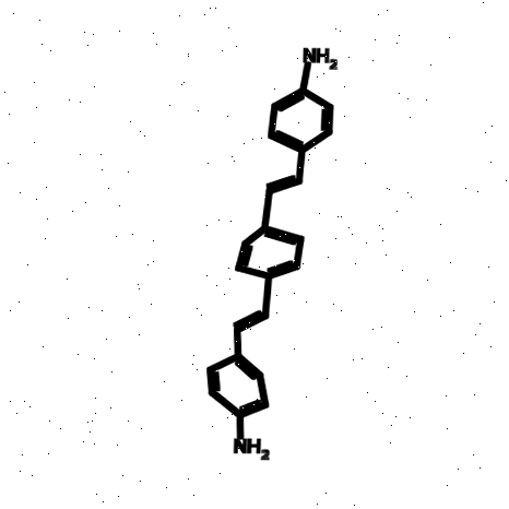 Nc1ccc(C=Cc2ccc(C=Cc3ccc(N)cc3)cc2)cc1